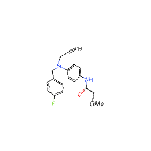 C#CCN(Cc1ccc(F)cc1)c1ccc(NC(=O)COC)cc1